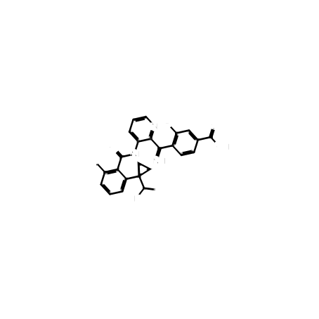 N=C(c1ccc(C(=O)O)cc1F)c1ncccc1NC(=O)c1c(Cl)cccc1C1(C(F)F)CC1